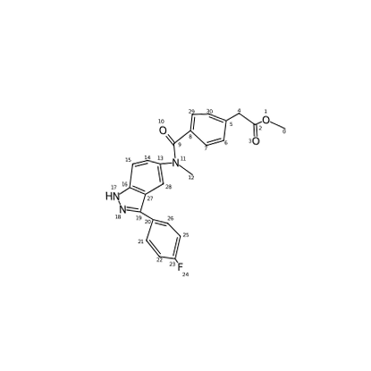 COC(=O)Cc1ccc(C(=O)N(C)c2ccc3[nH]nc(-c4ccc(F)cc4)c3c2)cc1